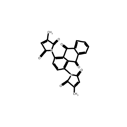 CC1=CC(=O)N(c2ccc(N3C(=O)C=C(C)C3=O)c3c2C(=O)c2ccccc2C3=O)C1=O